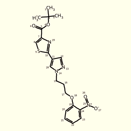 CC(C)(C)OC(=O)c1csc(-c2cnn(CCCOc3ccccc3[N+](=O)[O-])c2)n1